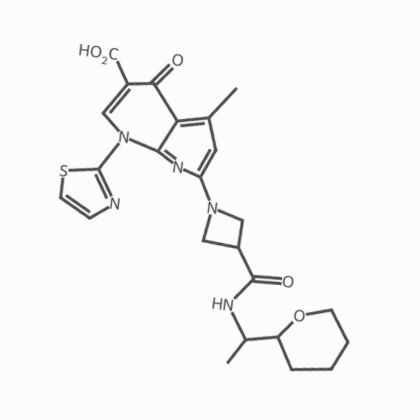 Cc1cc(N2CC(C(=O)NC(C)C3CCCCO3)C2)nc2c1c(=O)c(C(=O)O)cn2-c1nccs1